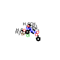 C[C@H]1CN(C(=O)OCc2ccccc2)CCN1c1nc(OC(C)(C)C)nc2c(OC(C)(C)C)c(Br)c(Cl)cc12